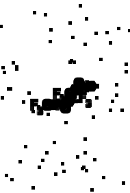 Cc1ccc(N2COc3ccc(C(c4ccc5c(c4)CN(c4ccc(C(F)(F)F)cc4)CO5)(C(F)(F)F)C(F)(F)F)cc3C2)cc1